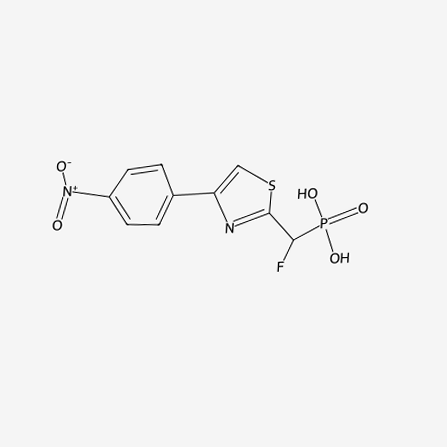 O=[N+]([O-])c1ccc(-c2csc(C(F)P(=O)(O)O)n2)cc1